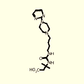 CC(C)(CC(=O)O)NC(=O)NCCCCN1CCN(c2ncccn2)CC1